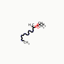 CC/C=C\C/C=C\C/C=C\C/C=C\C/C=C\C/C=C\CC(CC)COC(=O)OC(C)(C)C